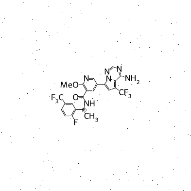 COc1ncc(-c2cc(C(F)(F)F)c3c(N)ncnn23)cc1C(=O)N[C@H](C)c1cc(C(F)(F)F)ccc1F